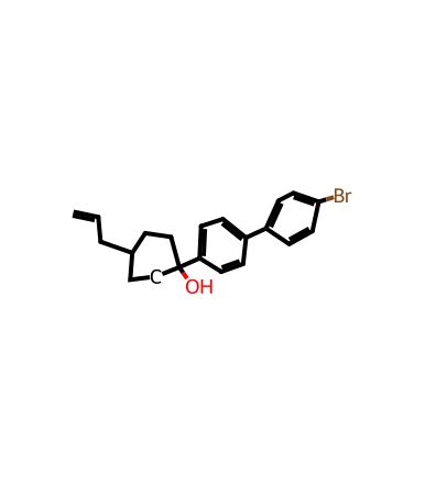 C=CCC1CCC(O)(c2ccc(-c3ccc(Br)cc3)cc2)CC1